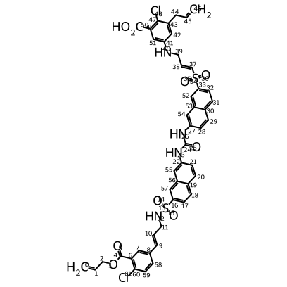 C=CCOC(=O)c1cc(C=CCNS(=O)(=O)c2ccc3ccc(NC(=O)Nc4ccc5ccc(S(=O)(=O)C=CCNc6cc(CC=C)c(Cl)c(C(=O)O)c6)cc5c4)cc3c2)ccc1Cl